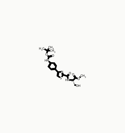 COC(=O)[C@H](CO)NC(=O)c1nc(-c2ccc(NC(=O)OC(C)(C)C)cc2)cs1